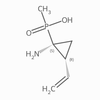 C=C[C@H]1C[C@]1(N)P(C)(=O)O